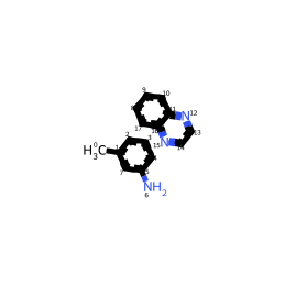 Cc1cccc(N)c1.c1ccc2nccnc2c1